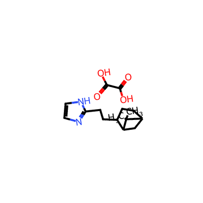 CC1(C)C2CCC(CCc3ncc[nH]3)C1C2.O=C(O)C(=O)O